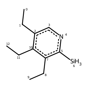 CCc1cnc([SiH3])c(CC)c1CC